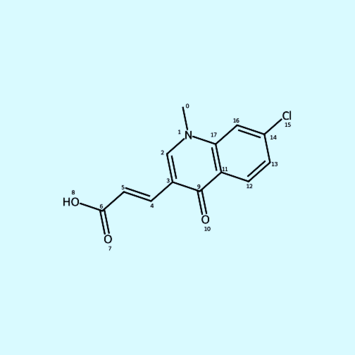 Cn1cc(C=CC(=O)O)c(=O)c2ccc(Cl)cc21